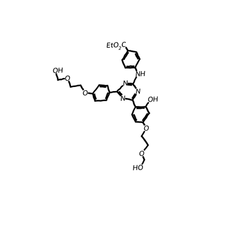 CCOC(=O)c1ccc(Nc2nc(-c3ccc(OCCOCO)cc3)nc(-c3ccc(OCCOCO)cc3O)n2)cc1